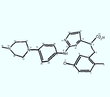 Cc1ccc(Cl)cc1CN(C(=O)O)c1ccnc(Nc2ccc(N3CCN(C)CC3)cc2)n1